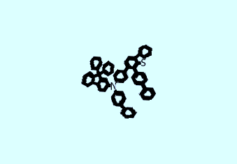 c1ccc(-c2ccc(-c3c(-c4ccc(N(c5ccc(-c6ccccc6)cc5)c5ccc6c(c5)C(c5ccccc5)(c5ccccc5)c5ccccc5-6)cc4)ccc4c3sc3ccccc34)cc2)cc1